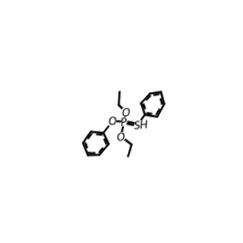 CCOP(OCC)(Oc1ccccc1)=[SH]c1ccccc1